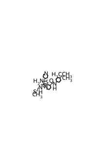 CSCCNCC(=O)C(N)(Sc1ncccc1C(=O)Nc1ccc(C(C)(C)C)cc1)c1ccncc1